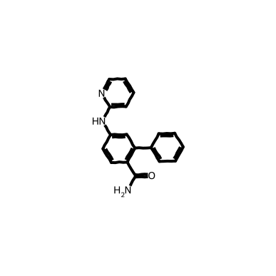 NC(=O)c1ccc(Nc2ccccn2)cc1-c1ccccc1